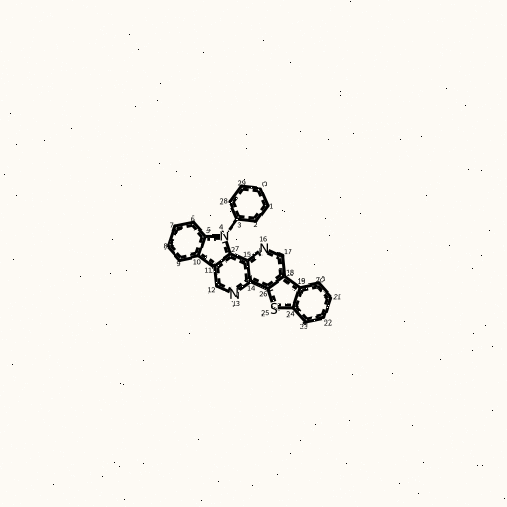 c1ccc(-n2c3ccccc3c3cnc4c(ncc5c6ccccc6sc54)c32)cc1